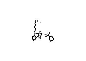 CCCCCCN1c2ccccc2[C@]2(O)C[C@@H](COC(=O)c3ccccc3)OC12